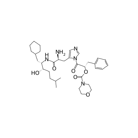 CC(C)CC[C@H](O)[C@H](CC1CCCCC1)NC(=O)[C@@H](N)Cc1cncn1C(=O)[C@H](Cc1ccccc1)OC(=O)N1CCOCC1